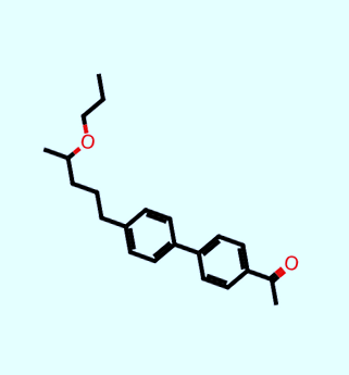 CCCOC(C)CCCc1ccc(-c2ccc(C(C)=O)cc2)cc1